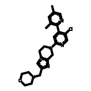 Cc1cnc(-c2cc(N3CCn4cc(CN5CCOCC5)nc4C3)ncc2Cl)c(C)c1